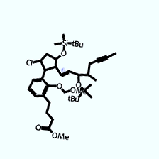 CC#CCC(C)C(/C=C/C1C(O[Si](C)(C)C(C)(C)C)CC(Cl)C1c1cccc(CCCC(=O)OC)c1OCOC)O[Si](C)(C)C(C)(C)C